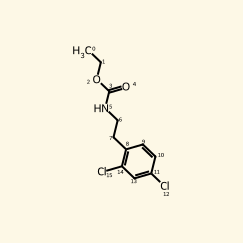 CCOC(=O)NCCc1ccc(Cl)cc1Cl